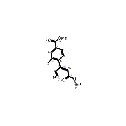 COC(=O)c1ccc(/C(C=N)=C/C(=O)OC(C)(C)C)c(C)c1